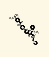 CN(C)c1ccc(C(=O)NC2CCN(c3ccc4c(=O)c(C(=O)NCCN5CCCC5)c5n(C)c6ccccc6n5c4n3)CC2)cc1